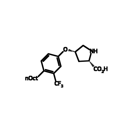 CCCCCCCCc1ccc(O[C@@H]2CN[C@H](C(=O)O)C2)cc1C(F)(F)F